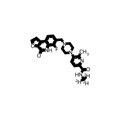 [2H]C([2H])([2H])NC(=O)c1ccc(N2CCN(Cc3ccc4c([nH]c(=O)c5occc54)c3F)CC2)c(C)n1